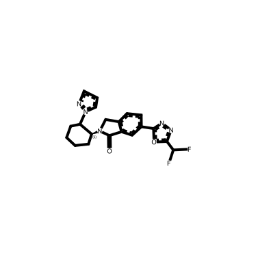 O=C1c2cc(-c3nnc(C(F)F)o3)ccc2CN1[C@H]1CCCCC1n1cccn1